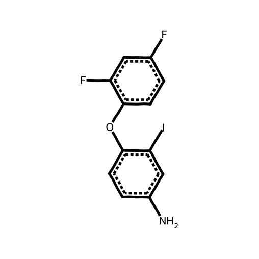 Nc1ccc(Oc2ccc(F)cc2F)c(I)c1